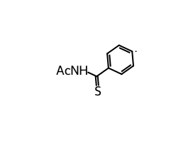 CC(=O)NC(=S)c1cc[c]cc1